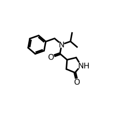 CC(C)N(Cc1ccccc1)C(=O)C1CNC(=O)C1